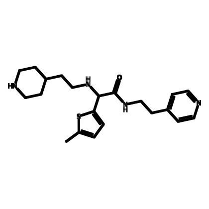 Cc1ccc(C(NCCC2CCNCC2)C(=O)NCCc2ccncc2)s1